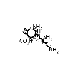 NCCCC[C@H](N)C(=O)NC1CC(N)CC2SSC2CC(C(=O)O)C1